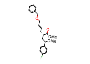 COC(=O)[C@@H](CC=CCOCc1ccccc1)C[C@@H](OC)c1ccc(F)cc1